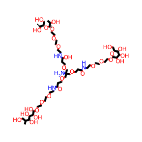 CC(O)[C@@H](OCCOCCOCCNC(O)CCOCC(N)(COCCC(=O)NCCOCCOCCO[C@H]1OC(CO)[C@@H](O)C(O)C1O)COCCC(=O)NCCOCCOCCO[C@@H](O)C(O)C(O)[C@H](O)C(C)CO)OC(CO)[C@H](C)O